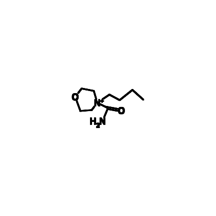 CCCC[N+]1(C(N)=O)CCOCC1